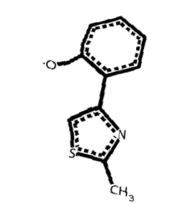 Cc1nc(-c2ccccc2[O])cs1